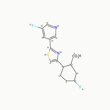 O=C(O)C1CC(F)CCC1c1csc(-c2cncc(F)c2)n1